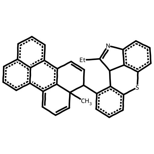 CCC1=Nc2cccc3c2C1c1c(cccc1C1C=Cc2c4c(c5cccc6cccc2c65)=CC=CC41C)S3